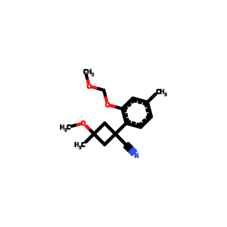 COCOc1cc(C)ccc1C1(C#N)CC(C)(OC)C1